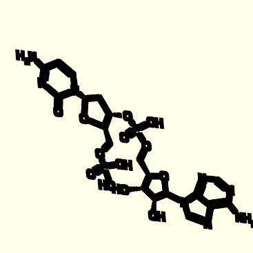 Nc1ccn([C@H]2C[C@H](OP(=O)(O)OC[C@H]3OC(n4cnc5c(N)ncnc54)[C@H](O)[C@@H]3O)[C@@H](COP(=O)(O)O)O2)c(=O)n1